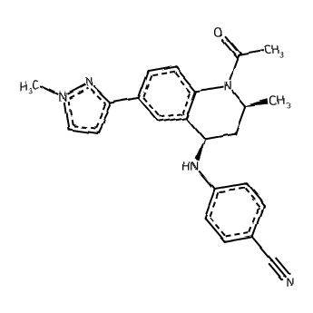 CC(=O)N1c2ccc(-c3ccn(C)n3)cc2[C@H](Nc2ccc(C#N)cc2)C[C@@H]1C